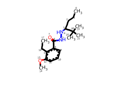 CCCC(NNC(=O)c1cccc(OC)c1CC)C(C)(C)C